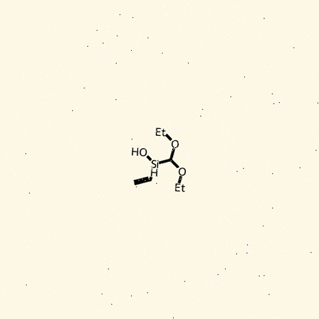 C=C[SiH](O)C(OCC)OCC